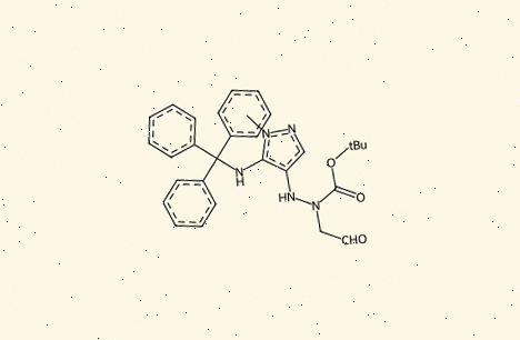 Cn1ncc(NN(CC=O)C(=O)OC(C)(C)C)c1NC(c1ccccc1)(c1ccccc1)c1ccccc1